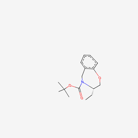 CC[C@H]1COc2ccccc2CN1C(=O)OC(C)(C)C